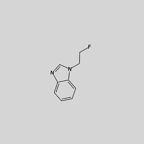 FCCn1cnc2ccccc21